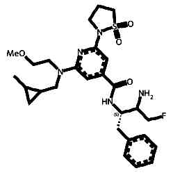 COCCN(CC1CC1C)c1cc(C(=O)N[C@@H](Cc2ccccc2)C(N)CF)cc(N2CCCS2(=O)=O)n1